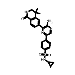 CC1(C)CNC(=O)c2ccc(-c3nc(-c4ccc(S(=O)(=O)NC5CC5)cc4)cnc3N)cc21